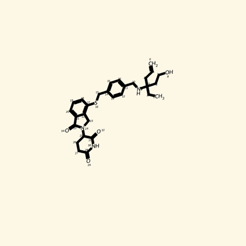 C=CCC(CC)(CCO)NCc1ccc(CSc2cccc3c2CN(C2CCC(=O)NC2=O)C3=O)cc1